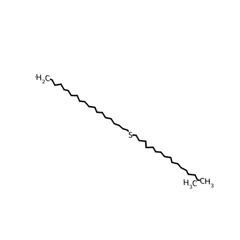 [CH2]CCCCCCCCCCCCCCCCCCCSCCCCCCCCCCCCCCCC(C)C